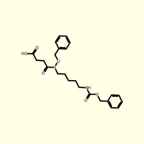 O=C(O)CCC(=O)N(CCCCCNC(=O)OCc1ccccc1)OCc1ccccc1